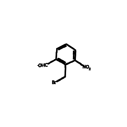 O=[C]c1cccc([N+](=O)[O-])c1CBr